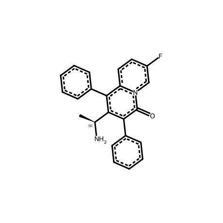 C[C@H](N)c1c(-c2ccccc2)c(=O)n2cc(F)ccc2c1-c1ccccc1